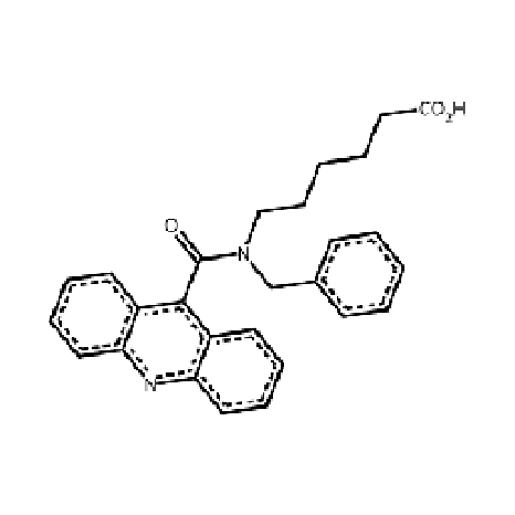 O=C(O)CCCCCN(Cc1ccccc1)C(=O)c1c2ccccc2nc2ccccc12